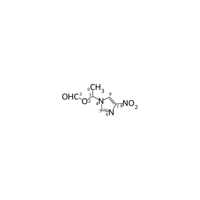 CC(OC=O)n1cnc([N+](=O)[O-])c1